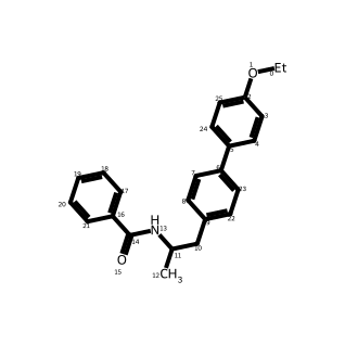 CCOc1ccc(-c2ccc(CC(C)NC(=O)c3ccccc3)cc2)cc1